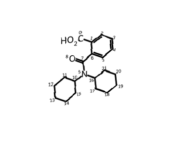 O=C(O)c1ccccc1C(=O)N(C1CCCCC1)C1CCCCC1